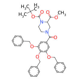 COC(=O)C1CN(C(=O)c2cc(OCc3ccccc3)c(OCc3ccccc3)c(OCc3ccccc3)c2)CCN1C(=O)OC(C)(C)C